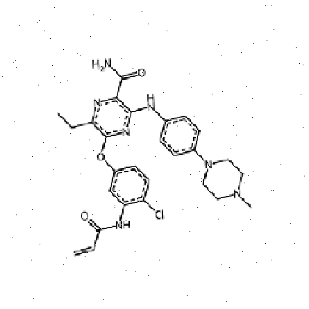 C=CC(=O)Nc1cc(Oc2nc(Nc3ccc(N4CCN(C)CC4)cc3)c(C(N)=O)nc2CC)ccc1Cl